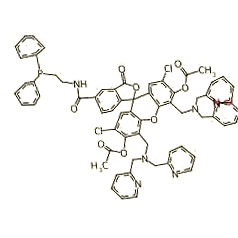 CC(=O)Oc1c(Cl)cc2c(c1CN(Cc1ccccn1)Cc1ccccn1)Oc1c(cc(Cl)c(OC(C)=O)c1CN(Cc1ccccn1)Cc1ccccn1)C21OC(=O)c2cc(C(=O)NCCP(c3ccccc3)c3ccccc3)ccc21